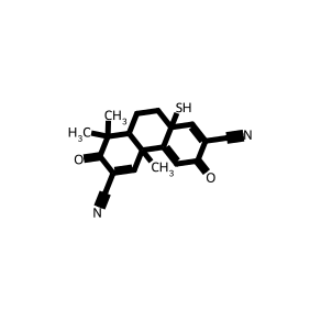 CC1(C)C(=O)C(C#N)=CC2(C)C3=CC(=O)C(C#N)=CC3(S)CCC12